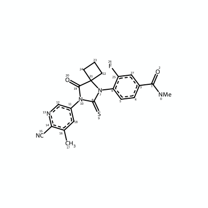 CNC(=O)c1ccc(N2C(=S)N(c3cnc(C#N)c(C)c3)C(=O)C23CCC3)c(F)c1